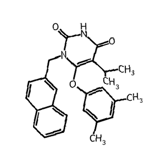 Cc1cc(C)cc(Oc2c(C(C)C)c(=O)[nH]c(=O)n2Cc2ccc3ccccc3c2)c1